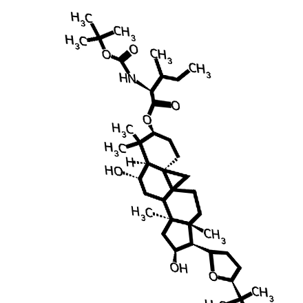 CCC(C)[C@H](NC(=O)OC(C)(C)C)C(=O)O[C@H]1CC[C@]23CC24CC[C@]2(C)[C@@H](C5CC[C@@H](C(C)(C)O)O5)[C@@H](O)C[C@@]2(C)C4C[C@H](O)[C@H]3C1(C)C